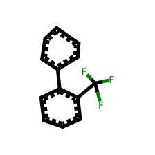 FC(F)(F)c1ccccc1-c1ccccc1